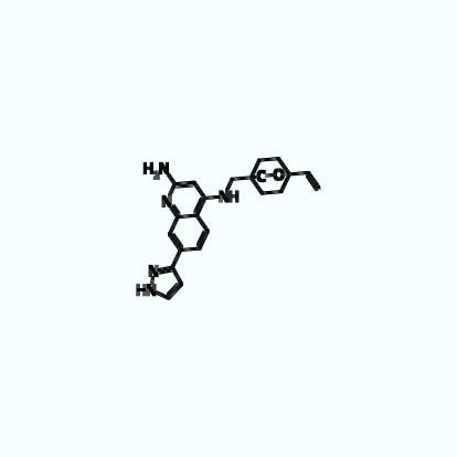 C=CC12CCC(CNc3cc(N)nc4cc(-c5cc[nH]n5)ccc34)(CC1)CO2